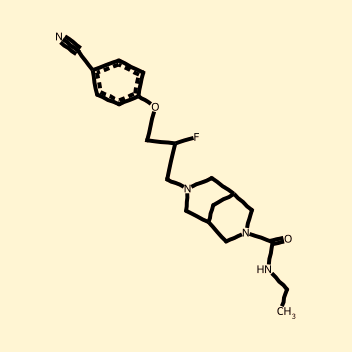 CCNC(=O)N1CC2CC(CN(CC(F)COc3ccc(C#N)cc3)C2)C1